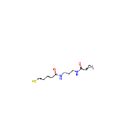 C=CC(=O)NCCCNC(=O)CCCCS